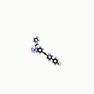 O=c1[nH]c2cc(C#Cc3ccc(-c4ccc(Cl)cc4)cn3)ccc2n1CCN1CCCC1